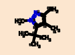 Bc1nn(C)c(C(C)(C)C)c1C